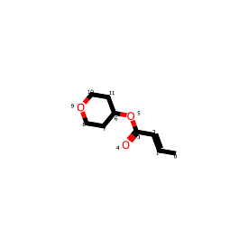 CC=CC(=O)OC1CCOCC1